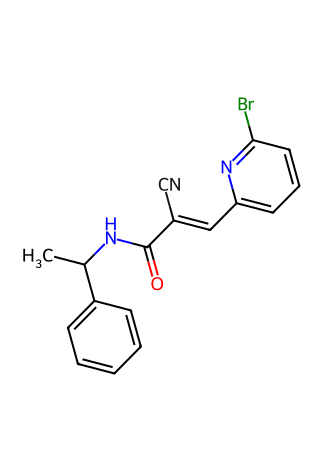 CC(NC(=O)/C(C#N)=C/c1cccc(Br)n1)c1ccccc1